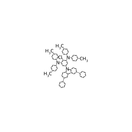 Cc1ccc(N(c2ccc(C)cc2)c2cc(-n3c4ccc(-c5ccccc5)cc4c4cc(-c5ccccc5)ccc43)cc(N(c3ccc(C)cc3)c3ccc(C)cc3)c2Cl)cc1